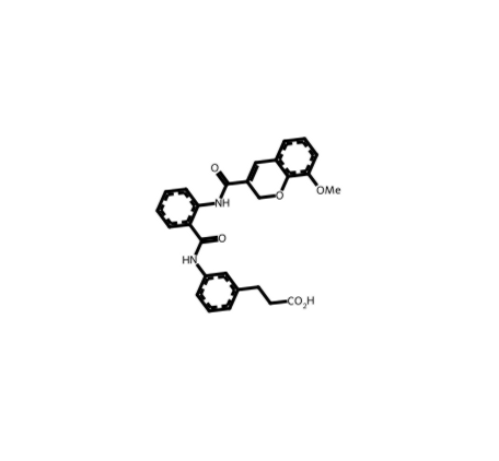 COc1cccc2c1OCC(C(=O)Nc1ccccc1C(=O)Nc1cccc(CCC(=O)O)c1)=C2